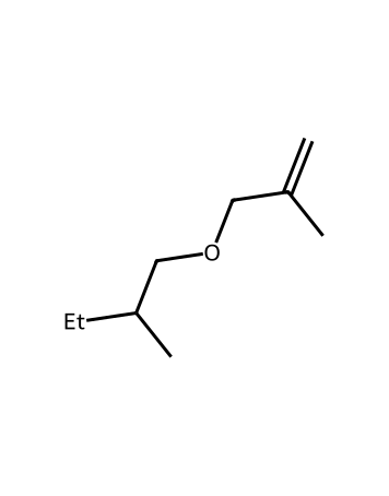 C=C(C)COCC(C)CC